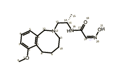 COc1cccc2c1CCCCN(C[C@H](C)NC(=O)/C=N\O)C2